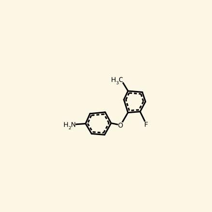 Cc1ccc(F)c(Oc2ccc(N)cc2)c1